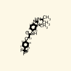 CC(C)Nc1nc2ccc(NC(=O)COc3ccc(C(F)(F)F)cc3)cc2n1C